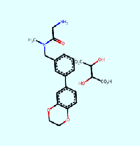 CN(Cc1cccc(-c2ccc3c(c2)OCCO3)c1)C(=O)CN.O=C(O)C(O)C(O)C(=O)O